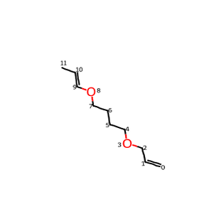 C=CCOCCCCOC=CC